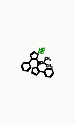 Cl.Cl.[CH3][GeH]([CH3])[Hf]([C]1=C(c2ccccc2)C=CC1)[C]1=C(c2ccccc2)C=CC1